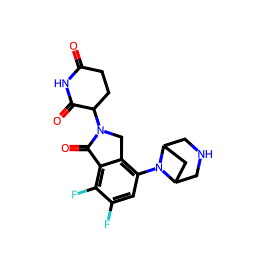 O=C1CCC(N2Cc3c(N4C5CNCC4C5)cc(F)c(F)c3C2=O)C(=O)N1